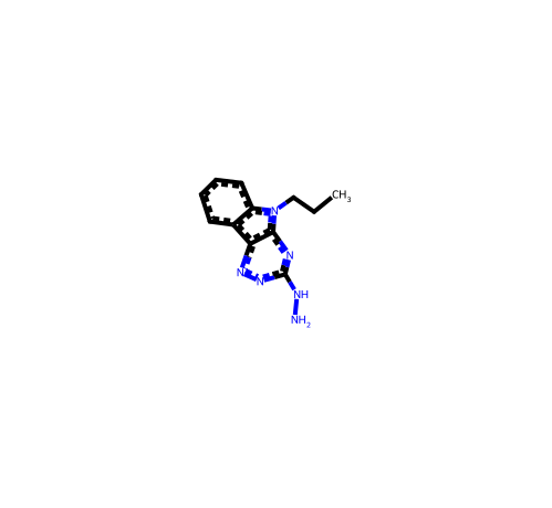 CCCn1c2ccccc2c2nnc(NN)nc21